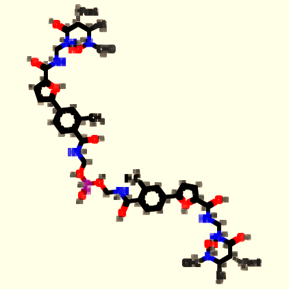 CCCCC[C@@H](C(=O)NCNC(=O)c1ccc(-c2ccc(C(=O)NCO[PH](=O)OCNC(=O)c3ccc(-c4ccc(C(=O)NCNC(=O)[C@H](CCCCC)[C@@H](CC)N(O)C=O)o4)cc3C)c(C)c2)o1)[C@@H](CC)N(O)C=O